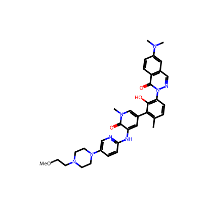 COCCN1CCN(c2ccc(Nc3cc(-c4c(C)ccc(-n5ncc6cc(N(C)C)ccc6c5=O)c4O)cn(C)c3=O)nc2)CC1